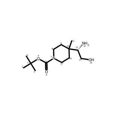 CC(C)(C)OC(=O)N1CCC(C)([C@H](N)CO)CC1